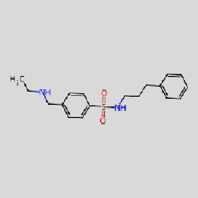 CCNCc1ccc(S(=O)(=O)NCCCc2ccccc2)cc1